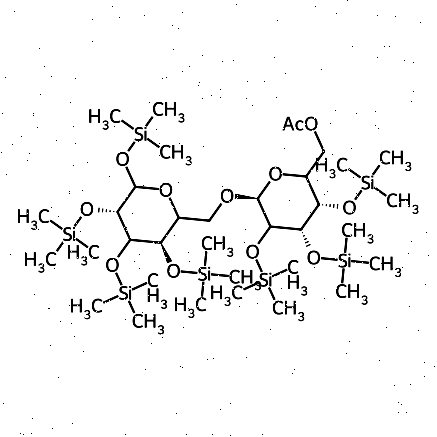 CC(=O)OCC1O[C@H](OCC2OC(O[Si](C)(C)C)[C@@H](O[Si](C)(C)C)C(O[Si](C)(C)C)[C@@H]2O[Si](C)(C)C)C(O[Si](C)(C)C)[C@@H](O[Si](C)(C)C)[C@H]1O[Si](C)(C)C